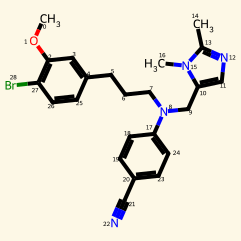 COc1cc(CCCN(Cc2cnc(C)n2C)c2ccc(C#N)cc2)ccc1Br